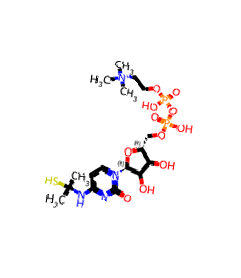 CC(C)(S)Nc1ccn([C@@H]2O[C@H](COP(=O)(O)OP(=O)(O)OCC[N+](C)(C)C)C(O)C2O)c(=O)n1